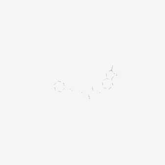 COc1cc(N2CCN(C(=O)C(=O)Nc3ccc4[nH]c(=O)oc4c3)CC2)ccc1Cl